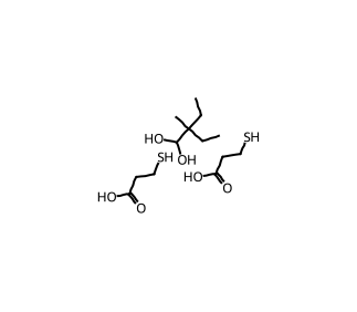 CCC(C)(CC)C(O)O.O=C(O)CCS.O=C(O)CCS